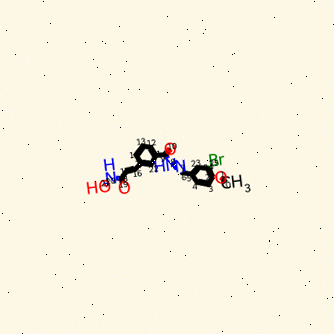 COc1ccc(/C=N/NC(=O)c2cccc(/C=C/C(=O)NO)c2)cc1Br